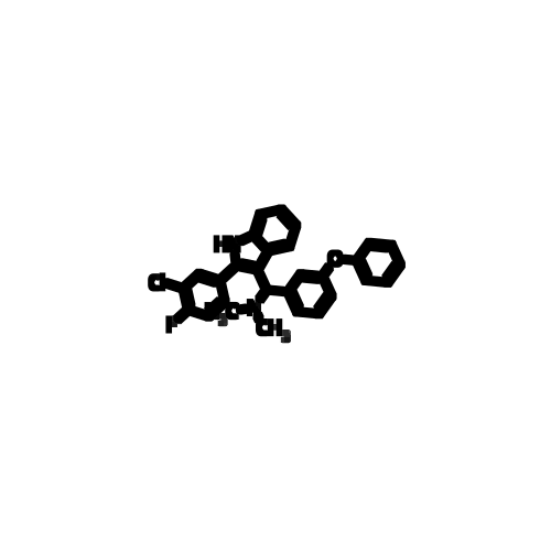 CN(C)C(c1cccc(Oc2ccccc2)c1)c1c(-c2ccc(F)c(Cl)c2)[nH]c2ccccc12